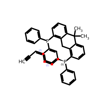 C#C/C=C\C=C/C[P@](c1ccccc1)c1cccc2c1Cc1c(P(c3ccccc3)c3ccccc3)cccc1C2(C)C